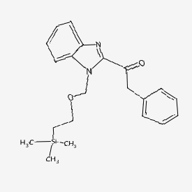 C[Si](C)(C)CCOCn1c(C(=O)Cc2ccccc2)nc2ccccc21